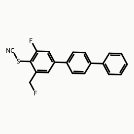 N#CSc1c(F)cc(-c2ccc(-c3ccccc3)cc2)cc1CF